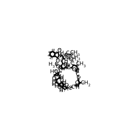 C=C1C[C@@H]2CCC34C[C@@H]5O[C@@H]6[C@@H](O[C@H]7CCC(CC(O)C[C@H]8[C@H](CC9O[C@@H](CCC1O2)C[C@@H](C)C9=C)OC(C[C@@H](CN1C(=O)c2ccccc2C1=O)O[Si](C)(C)C(C)(C)C)[C@@H]8OC)O[C@@H]7[C@@H]6O3)[C@H]5O4